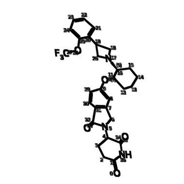 O=C1CCC(N2Cc3cc(O[C@H]4CCCC[C@@H]4N4CC(c5ccccc5OC(F)(F)F)C4)ccc3C2=O)C(=O)N1